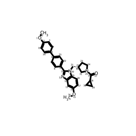 COc1ccc(-c2ccc(-c3nc4cc(OC)ccc4n3C[C@@H]3CCN(C(=O)C4CC4)C3)cc2)cc1